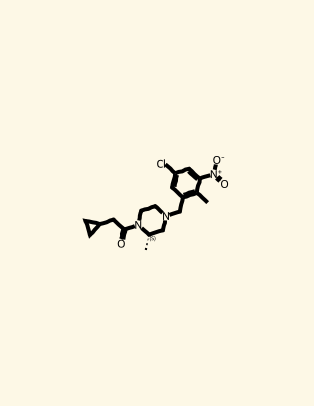 Cc1c(CN2CCN(C(=O)CC3CC3)[C@@H](C)C2)cc(Cl)cc1[N+](=O)[O-]